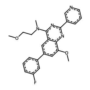 COCCN(C)c1nc(-c2cccnc2)nc2c(OC)cc(-c3cccc(F)c3)cc12